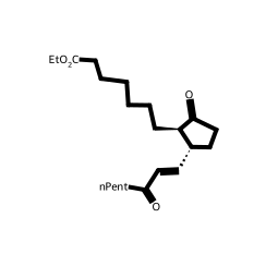 CCCCCC(=O)C=C[C@H]1CCC(=O)[C@@H]1CCCCCCC(=O)OCC